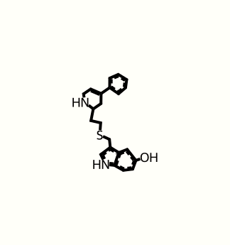 Oc1ccc2[nH]cc(CSCCC3CC(c4ccccc4)=CCN3)c2c1